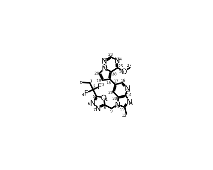 CCC(F)(F)c1nnc(Cn2c(C)nc3ncc(-c4ccn5ncnc(OC)c45)cc32)o1